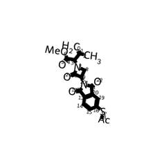 C=C(C)C(C(=O)OC)N1CC(N2C(=O)c3ccc(SC(C)=O)cc3C2=O)C1=O